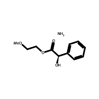 COCCOC(=O)[C@H](O)c1ccccc1.N